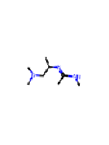 CN/C(C)=N/C(C)CN(C)C